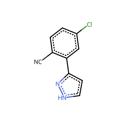 N#Cc1ccc(Cl)cc1-c1cc[nH]n1